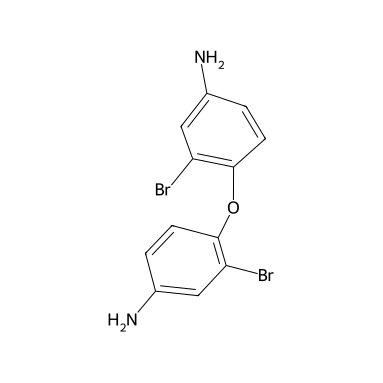 Nc1ccc(Oc2ccc(N)cc2Br)c(Br)c1